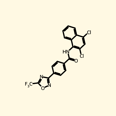 O=C(Nc1c(Cl)cc(Cl)c2ccccc12)c1ccc(-c2noc(C(F)(F)F)n2)cc1